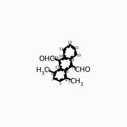 Cc1ccc(C)c2c(C=O)c3ccccc3c(C=O)c12